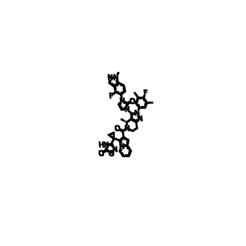 Cc1cc(-n2nc3c(c2-n2ccn(-c4ccc5c(cnn5C)c4F)c2=O)[C@H](C)N(C(=O)c2cc4ccccn4c2C2(c4noc(=O)[nH]4)CC2)CC3)cc(C)c1F